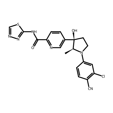 C[C@@H]1N(c2ccc(C#N)c(Cl)c2)CC[C@@]1(O)c1ccc(C(=O)Nc2nncs2)nc1